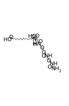 NCC(=O)NCCOCCNC(=O)COCCOCCNC(=O)CC[C@H](NC(=O)CCCCCCCCCCCCCC(=O)O)C(=O)O